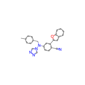 Cc1ccc(CN(c2ccc(C#N)c(-c3cc4ccccc4o3)c2)n2cnnc2)cc1